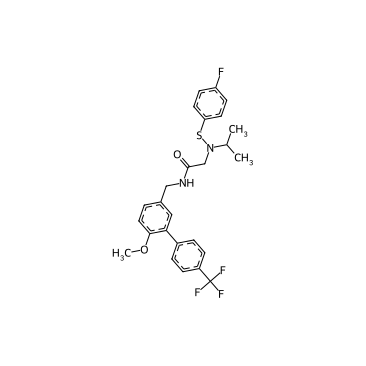 COc1ccc(CNC(=O)CN(Sc2ccc(F)cc2)C(C)C)cc1-c1ccc(C(F)(F)F)cc1